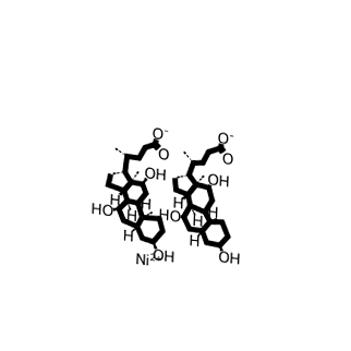 C[C@H](CCC(=O)[O-])[C@H]1CC[C@H]2[C@@H]3[C@H](O)C[C@@H]4C[C@H](O)CC[C@]4(C)[C@H]3C[C@H](O)[C@]12C.C[C@H](CCC(=O)[O-])[C@H]1CC[C@H]2[C@@H]3[C@H](O)C[C@@H]4C[C@H](O)CC[C@]4(C)[C@H]3C[C@H](O)[C@]12C.[Ni+2]